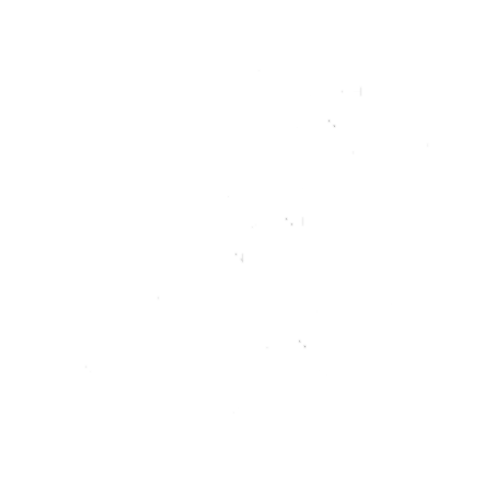 COCCOCCN(C(=O)NC1CC2(CCOCC2)N(O)C2(CCOCC2)C1)C1CC2(CCOCC2)N(O)C2(CCOCC2)C1